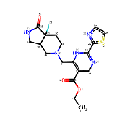 CCOC(=O)C1=C(CN2CCC3(F)C(=O)NCC3C2)NC(c2nccs2)=NC1